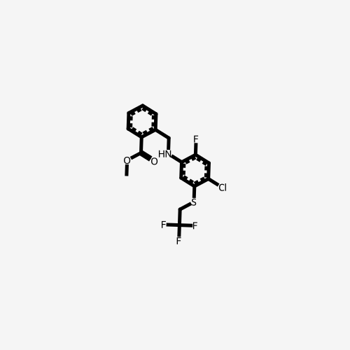 COC(=O)c1ccccc1CNc1cc(SCC(F)(F)F)c(Cl)cc1F